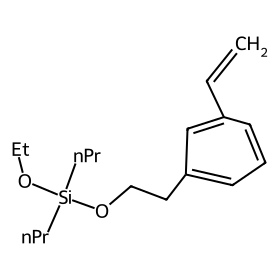 C=Cc1cccc(CCO[Si](CCC)(CCC)OCC)c1